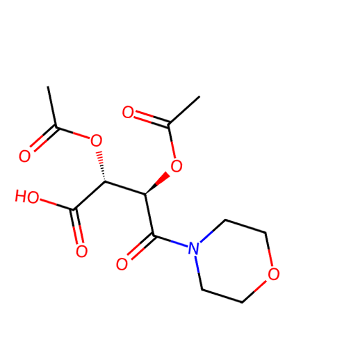 CC(=O)O[C@@H](C(=O)O)[C@@H](OC(C)=O)C(=O)N1CCOCC1